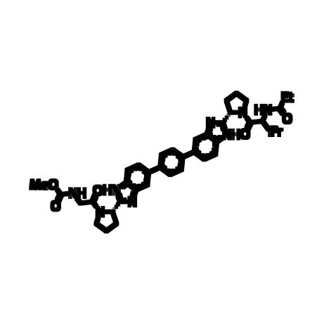 CCC(=O)NC(C(=O)N1CCC[C@H]1c1nc2cc(-c3ccc(-c4ccc5[nH]c([C@@H]6CCCN6C(=O)CNC(=O)OC)nc5c4)cc3)ccc2[nH]1)C(C)C